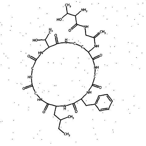 C=C(CNC(=O)C(N)C(C)O)NC1CCNC(=O)C(C(C)O)NC(=O)CNC(=O)CNC(=O)C(CC(C)CC)NC(=O)C(Cc2ccccc2)NC(=O)CNC1=O